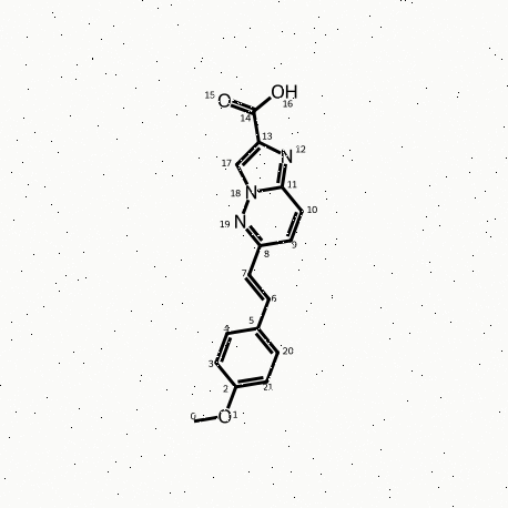 COc1ccc(/C=C/c2ccc3nc(C(=O)O)cn3n2)cc1